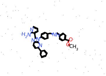 COC(=O)c1ccc(CNCc2ccc(-n3c(-c4cccnc4N)nc4ccc(-c5ccccc5)nc43)cc2)cc1